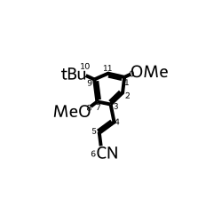 COc1cc(C=CC#N)c(OC)c(C(C)(C)C)c1